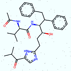 CC(=O)N[C@@H](C(=O)N[C@@H](C(Cc1ccccc1)c1ccccc1)[C@@H](O)CCc1ncc(C(=O)C(C)C)[nH]1)C(C)C